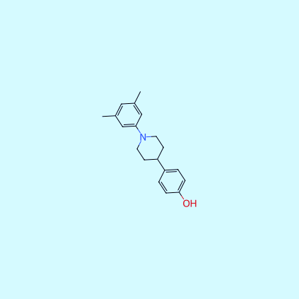 Cc1cc(C)cc(N2CCC(c3ccc(O)cc3)CC2)c1